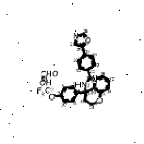 O=C(N[C@]1(c2ccc(OC(F)(F)F)cc2)CCOc2cccnc21)c1ccc(-c2cnco2)cc1.O=CO